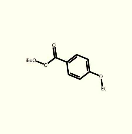 CCOc1ccc(C(=O)OO[CH]C(C)C)cc1